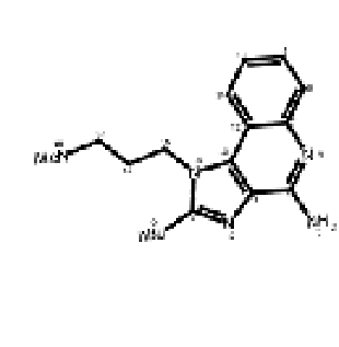 CCCCc1nc2c(N)nc3ccccc3c2n1CCCNC